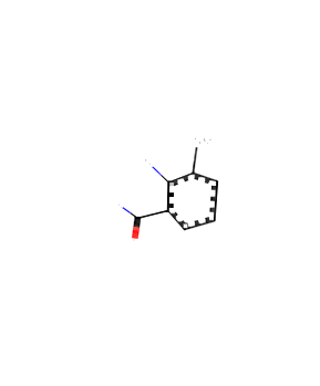 CNc1cccc(C(N)=O)c1N